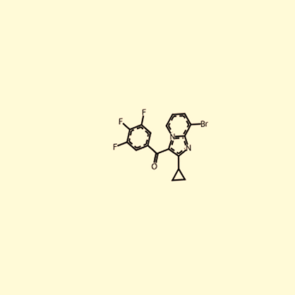 O=C(c1cc(F)c(F)c(F)c1)c1c(C2CC2)nc2c(Br)cccn12